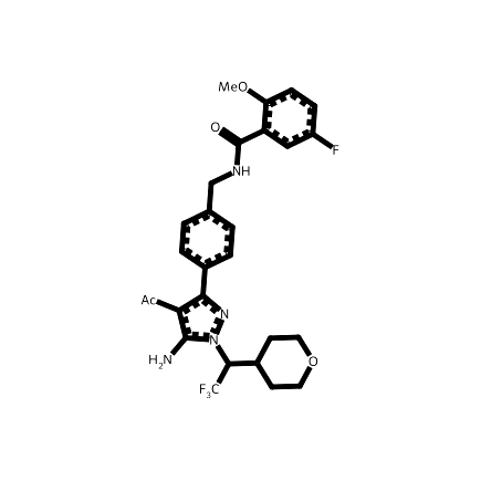 COc1ccc(F)cc1C(=O)NCc1ccc(-c2nn(C(C3CCOCC3)C(F)(F)F)c(N)c2C(C)=O)cc1